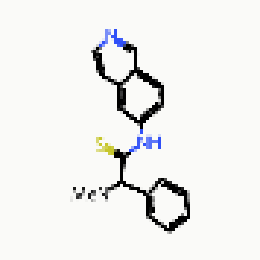 CNC(C(=S)Nc1ccc2cnccc2c1)c1ccccc1